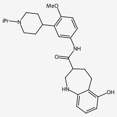 COc1ccc(NC(=O)C2CCc3c(O)cccc3NC2)cc1C1CCN(C(C)C)CC1